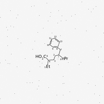 CCCC(CCC(CC)C(=O)O)Cc1ccccc1